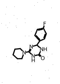 O=C1NC(N2CCCCC2)=NC(c2ccc(F)cc2)N1